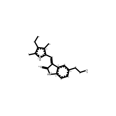 CCc1c(C)[nH]c(C=C2C(=O)Nc3ccc(CCCl)cc32)c1C